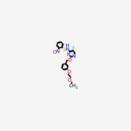 CCOCCOc1cccc(COc2ncc(F)c(NSc3ccccc3N=O)n2)c1